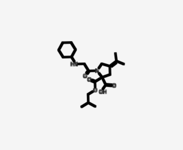 CC(C)=C1CN(C(=O)CNC2CCCCC2)C(C(=O)O)(C(=O)OCC(C)C)C1